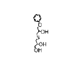 OCC(O)CSCC(O)COc1ccccc1